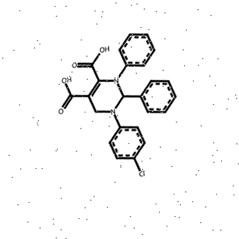 O=C(O)C1=C(C(=O)O)N(c2ccccc2)C(c2ccccc2)N(c2ccc(Cl)cc2)C1